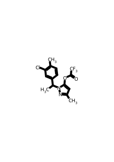 Cc1cc(OC(=O)C(F)(F)F)n(C(C)c2ccc(C)c(Cl)c2)n1